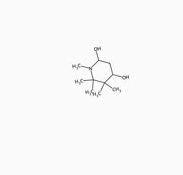 CN1C(O)CC(O)C(C)(C)C1(C)C